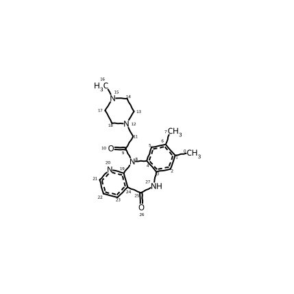 Cc1cc2c(cc1C)N(C(=O)CN1CCN(C)CC1)c1ncccc1C(=O)N2